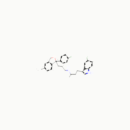 CC(CCc1c[nH]c2ccc(Br)cc12)NCCCC1(c2ccc(F)cc2)OCc2cc(C#N)ccc21